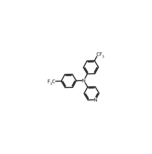 FC(F)(F)c1ccc(N(c2ccncc2)c2ccc(C(F)(F)F)cc2)cc1